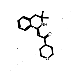 CC1(C)Cc2ccccc2/C(=C/C(=O)C2CCOCC2)N1